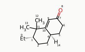 CC[C@H]1CC[C@@H]2CCC(=O)C=C2C1(C)C